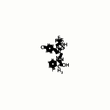 C[C@H](O)c1nc(Cn2cc(-c3ccc(Cl)cc3)n(C[C@H](O)C(F)(F)F)c2=O)nn1-c1cccc(F)c1